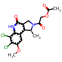 COc1cc2c3c(c(=O)[nH]c2c(Cl)c1Cl)CN(C(=O)COC(C)=O)[C@H]3C